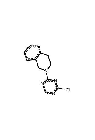 Clc1ncnc(N2CCc3ccccc3C2)n1